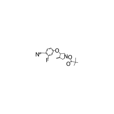 C=C1CN(OC(=O)C(C)(C)C)C[C@@H]1Oc1ccc(C#N)c(F)c1